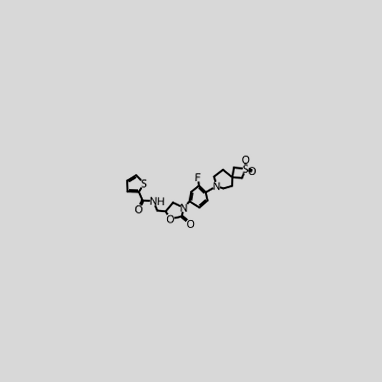 O=C(NCC1CN(c2ccc(N3CCC4(CC3)CS(=O)(=O)C4)c(F)c2)C(=O)O1)c1cccs1